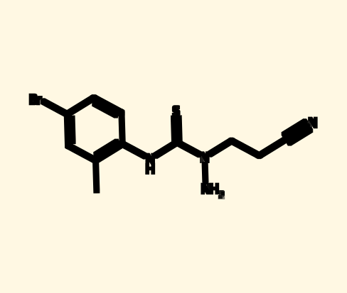 Cc1cc(Br)ccc1NC(=S)N(N)CCC#N